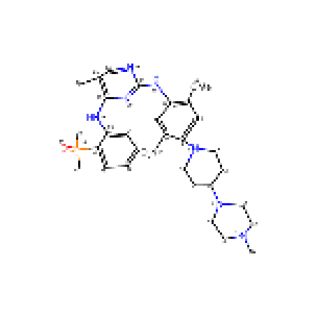 COc1cc(N2CCC(N3CCN(C)CC3)CC2)c([N+](=O)[O-])cc1Nc1ncc(C)c(Nc2ccccc2P(C)(C)=O)n1